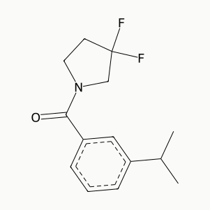 CC(C)c1cccc(C(=O)N2CCC(F)(F)C2)c1